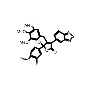 COc1cc(CC2=C(c3ccc4nsnc4c3)C(=O)OC2(O)c2ccc(OC(C)C)c(F)c2)cc(OC)c1OC